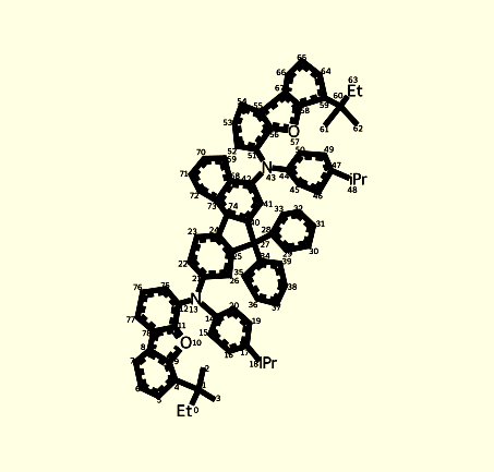 CCC(C)(C)c1cccc2c1oc1c(N(c3ccc(C(C)C)cc3)c3ccc4c(c3)C(c3ccccc3)(c3ccccc3)c3cc(N(c5ccc(C(C)C)cc5)c5cccc6c5oc5c(C(C)(C)CC)cccc56)c5ccccc5c3-4)cccc12